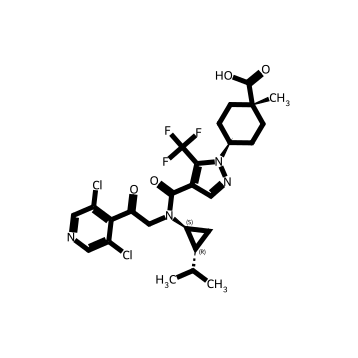 CC(C)[C@H]1C[C@@H]1N(CC(=O)c1c(Cl)cncc1Cl)C(=O)c1cnn([C@H]2CC[C@](C)(C(=O)O)CC2)c1C(F)(F)F